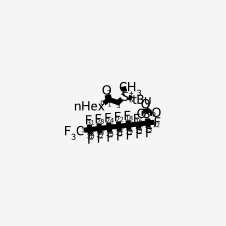 CCCCCCC(=O)C[S+](C)C(C)(C)C.O=S(=O)([O-])C(F)(F)C(F)(F)C(F)(F)C(F)(F)C(F)(F)C(F)(F)C(F)(F)C(F)(F)F